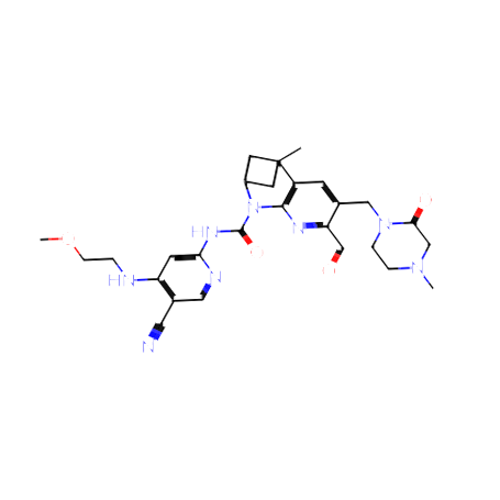 COCCNc1cc(NC(=O)N2c3nc(C=O)c(CN4CCN(C)CC4=O)cc3C3(C)CC2C3)ncc1C#N